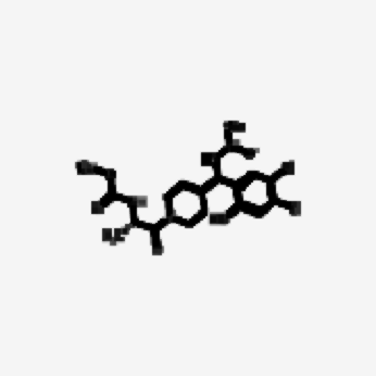 C[C@H](NC(=O)OC(C)(C)C)C(=O)N1CCC(C(N[S+]([O-])C(C)(C)C)c2cc(Cl)c(Cl)cc2O)CC1